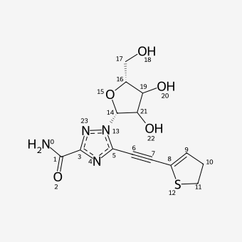 NC(=O)c1nc(C#CC2=CCCS2)n([C@@H]2O[C@H](CO)C(O)C2O)n1